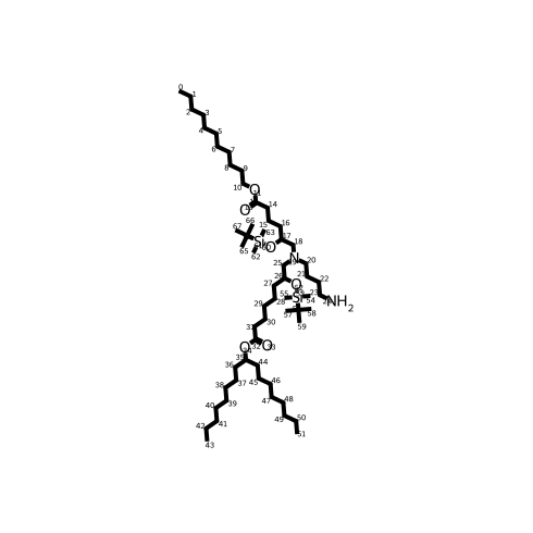 CCCCCCCCCCCOC(=O)CCCC(CN(CCCCN)CC(CCCCCC(=O)OC(CCCCCCCC)CCCCCCCC)O[Si](C)(C)C(C)(C)C)O[Si](C)(C)C(C)(C)C